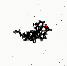 CN(CCCF)S(=O)(=O)c1cc(N2[C@@H]3CC[C@H]2CN(C(=O)c2ccc(F)cc2Cl)C3)n2c(C3CC3)ncc2c1